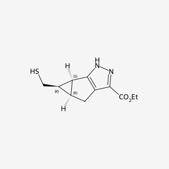 CCOC(=O)c1n[nH]c2c1C[C@H]1[C@@H](CS)[C@@H]21